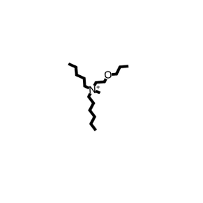 CCCCCC[N+](C)(CCCCC)CCOCCC